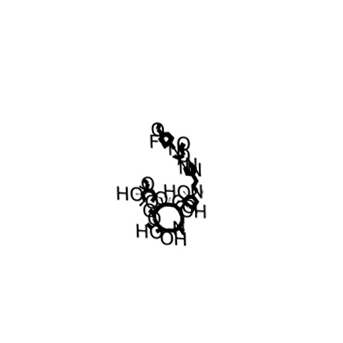 CC[C@H]1OC(=O)[C@H](C)[C@@H](O[C@H]2C[C@@](C)(OC)[C@@H](O)[C@H](C)O2)[C@H](C)[C@@H](O[C@@H]2O[C@H](C)C[C@H](N(C)CCc3cn(C[C@H]4CN(c5ccc(OC)c(F)c5)C(=O)O4)nn3)[C@H]2O)[C@](C)(O)CCN(C)[C@H](C)[C@@H](O)[C@]1(C)O